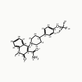 Cn1c(=O)c(C(N)=O)c(N2CCC(c3ccc(OC(F)(F)F)cc3)CC2)c2ccccc21